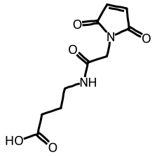 O=C(O)CCCNC(=O)CN1C(=O)C=CC1=O